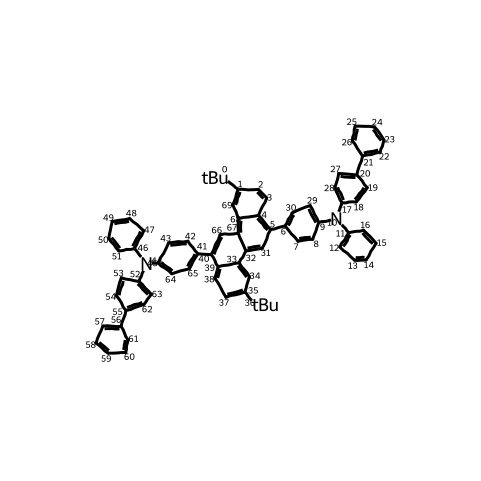 CC(C)(C)c1ccc2c(-c3ccc(N(c4ccccc4)c4ccc(-c5ccccc5)cc4)cc3)cc3c4cc(C(C)(C)C)ccc4c(-c4ccc(N(c5ccccc5)c5ccc(-c6ccccc6)cc5)cc4)cc3c2c1